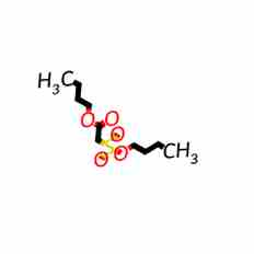 CCCCOC(=O)CS(=O)(=O)OCCCC